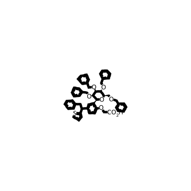 O=C(O)COc1ccc(C(Cc2ccccc2)c2cccs2)cc1[C@@H]1O[C@H](COCc2ccccc2)[C@@H](OCc2ccccc2)[C@H](OCc2ccccc2)[C@H]1OCc1ccccc1